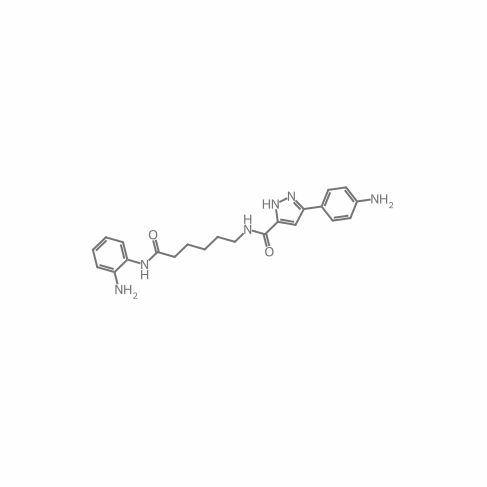 Nc1ccc(-c2cc(C(=O)NCCCCCC(=O)Nc3ccccc3N)[nH]n2)cc1